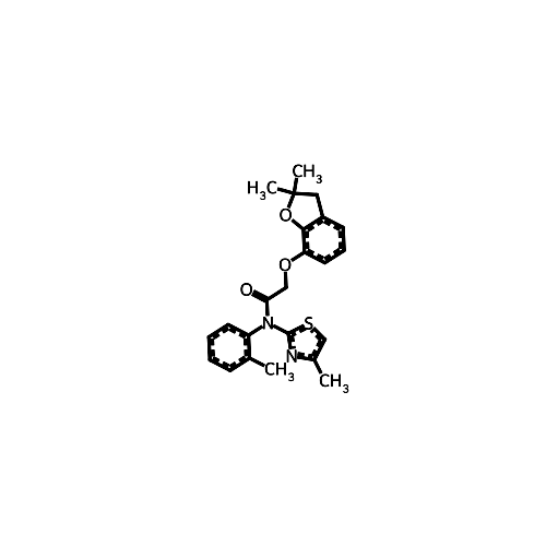 Cc1csc(N(C(=O)COc2cccc3c2OC(C)(C)C3)c2ccccc2C)n1